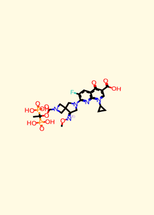 CO/N=C1/CN(c2nc3c(cc2F)c(=O)c(C(=O)O)cn3C2CC2)CC12CN(C(=O)OC(C)(P(=O)(O)O)P(=O)(O)O)C2